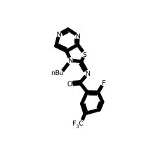 CCCCn1c(=NC(=O)c2cc(C(F)(F)F)ccc2F)sc2ncncc21